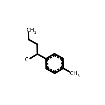 CCCC(Cl)c1ccc(C)cc1